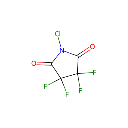 O=C1N(Cl)C(=O)C(F)(F)C1(F)F